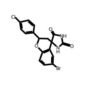 O=C1NC(=O)C2(CC(c3ccc(Cl)cc3)Oc3ccc(Br)cc32)N1